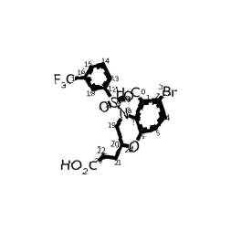 Cc1c(Br)ccc2c1N(S(=O)(=O)c1cccc(C(F)(F)F)c1)CC(CCC(=O)O)O2